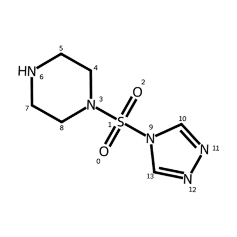 O=S(=O)(N1CCNCC1)n1cnnc1